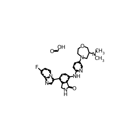 CN(C)C1COCCN(c2ccc(Nc3ccc(-c4cnc5cc(F)ccn45)c4c3C(=O)NC4)nc2)C1.O=CO